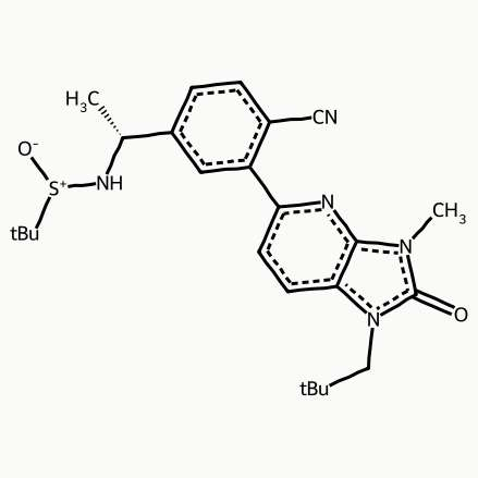 C[C@@H](N[S+]([O-])C(C)(C)C)c1ccc(C#N)c(-c2ccc3c(n2)n(C)c(=O)n3CC(C)(C)C)c1